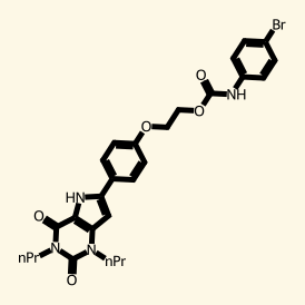 CCCn1c(=O)c2[nH]c(-c3ccc(OCCOC(=O)Nc4ccc(Br)cc4)cc3)cc2n(CCC)c1=O